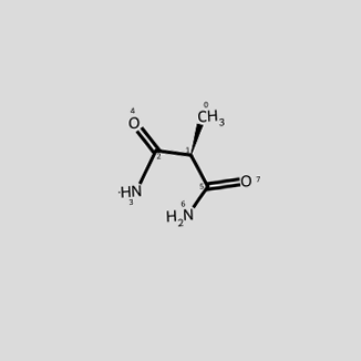 C[C@H](C([NH])=O)C(N)=O